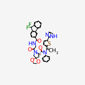 C[C@H](c1ccc(-c2ncc[nH]2)s1)N(C(=O)[C@@H]1CC2(CN1C(=O)CNC(=O)c1ccc3c(c1)-c1ccccc1C3(F)F)OCCO2)c1ccccc1